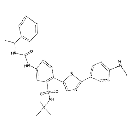 CNc1ccc(-c2ncc(-c3ccc(NC(=O)NC(C)c4ccccc4)cc3S(=O)(=O)NC(C)(C)C)s2)cc1